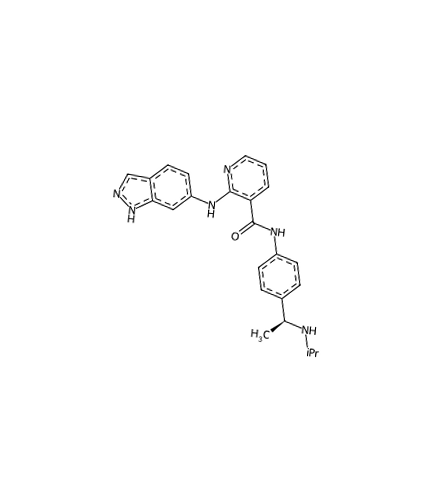 CC(C)N[C@@H](C)c1ccc(NC(=O)c2cccnc2Nc2ccc3cn[nH]c3c2)cc1